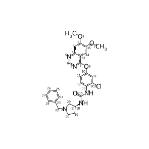 COc1cc2ncnc(Oc3ccc(NC(=O)N[C@H]4CCN(Cc5ccccc5)C4)c(Cl)c3)c2cc1OC